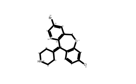 Clc1ccc2c(c1)OCc1cc(Br)cnc1C2=C1CCNCC1